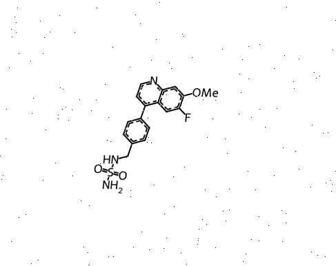 COc1cc2nccc(-c3ccc(CNS(N)(=O)=O)cc3)c2cc1F